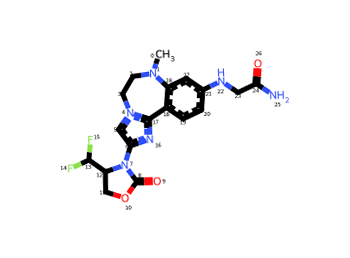 CN1CCn2cc(N3C(=O)OCC3C(F)F)nc2-c2ccc(NCC(N)=O)cc21